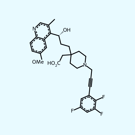 COc1ccc2ncc(C)c([C@H](O)CCC3(CC(=O)O)CCN(CC#Cc4cc(F)cc(F)c4F)CC3)c2c1